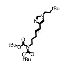 CC(C)(C)CCn1cnc(/C=C/CCCN(C(=O)OC(C)(C)C)C(=O)OC(C)(C)C)c1